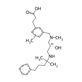 Cc1cc(CCC(=O)O)cc(CN(C)C[C@H](O)CNC(C)(C)CCCc2ccccc2)c1